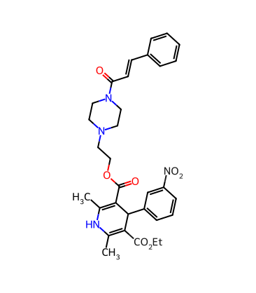 CCOC(=O)C1=C(C)NC(C)=C(C(=O)OCCN2CCN(C(=O)/C=C/c3ccccc3)CC2)C1c1cccc([N+](=O)[O-])c1